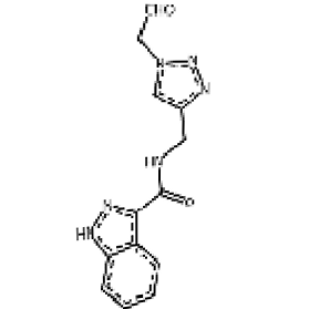 O=CCn1cc(CNC(=O)c2n[nH]c3ccccc23)nn1